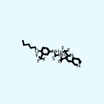 CCCCCOc1ccc(NC(=S)NC(=O)c2cc3cnccc3nc2C(F)(F)F)cc1C(F)(F)F